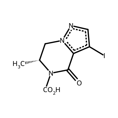 C[C@@H]1Cn2ncc(I)c2C(=O)N1C(=O)O